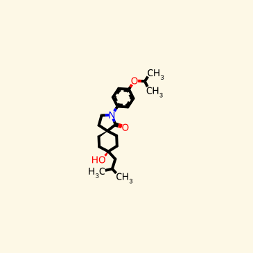 CC(C)C[C@]1(O)CC[C@]2(CCN(c3ccc(OC(C)C)cc3)C2=O)CC1